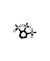 CS(=O)(=O)c1cccc(S(C)(=O)=O)c1S(C)(=O)=O